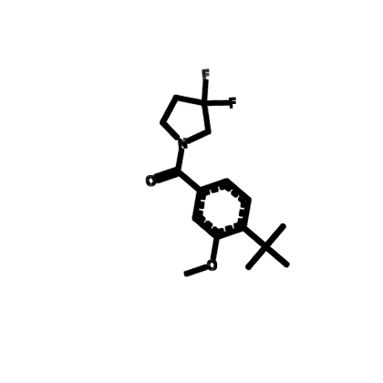 COc1cc(C(=O)N2CCC(F)(F)C2)ccc1C(C)(C)C